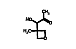 CC(=O)C(O)C1(C)COC1